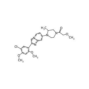 COCC(=O)N1CCN(c2ccn3cc(-c4cc(Cl)c(OC)cc4OC)nc3c2)C(C)C1